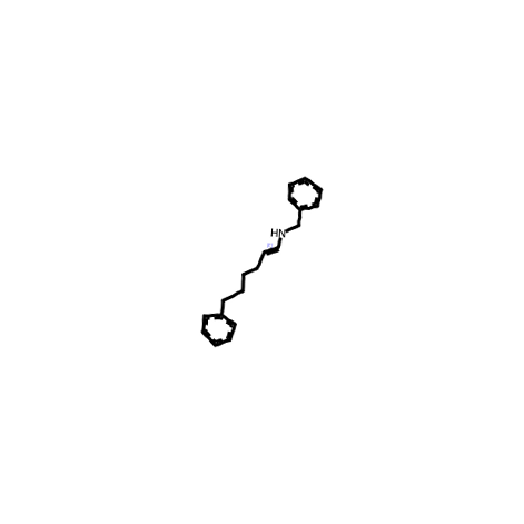 C(=C\NCc1ccccc1)/CCCCc1ccccc1